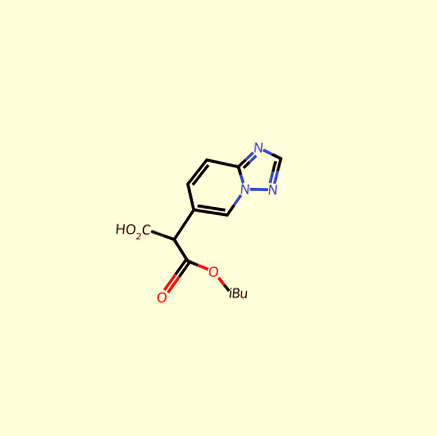 CCC(C)OC(=O)C(C(=O)O)c1ccc2ncnn2c1